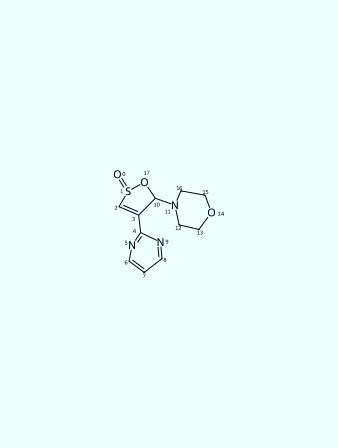 O=S1C=C(c2ncccn2)C(N2CCOCC2)O1